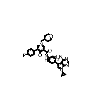 Nc1ncnc2c1c(-c1ccc(NC(=O)c3cn(CC4CCOCC4)cc(-c4ccc(F)cc4)c3=O)cc1)cn2C1CC1